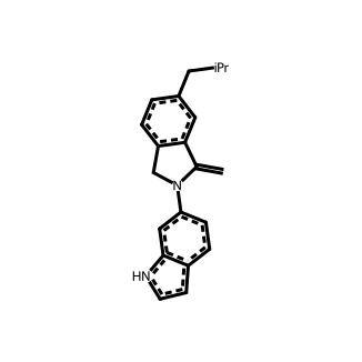 C=C1c2cc(CC(C)C)ccc2CN1c1ccc2cc[nH]c2c1